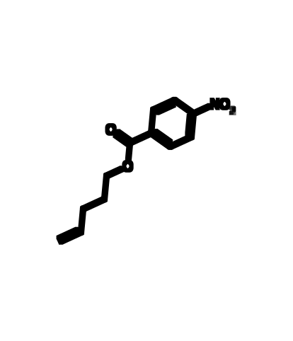 C=CCCCOC(=O)c1ccc([N+](=O)[O-])cc1